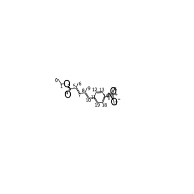 CCOC(=O)/C(C)=C/C(C)=C/c1ccc([N+](=O)[O-])cc1